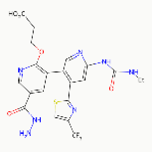 CCNC(=O)Nc1cc(-c2nc(C(F)(F)F)cs2)c(-c2cc(C(=O)NN)cnc2OCCC(=O)O)cn1